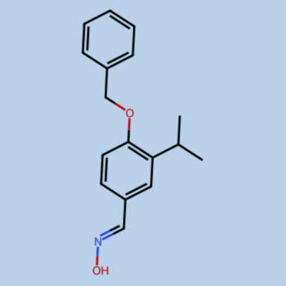 CC(C)c1cc(C=NO)ccc1OCc1ccccc1